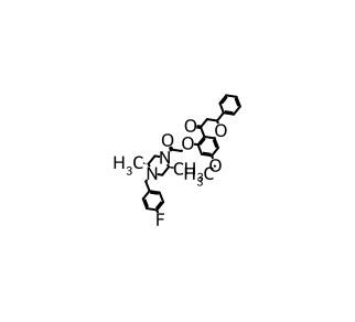 COc1cc(OCC(=O)N2C[C@@H](C)N(Cc3ccc(F)cc3)C[C@@H]2C)c2c(c1)OC(c1ccccc1)CC2=O